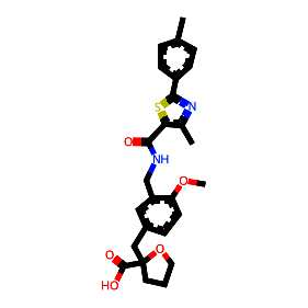 COc1ccc(CC2(C(=O)O)CCCO2)cc1CNC(=O)c1sc(-c2ccc(C)cc2)nc1C